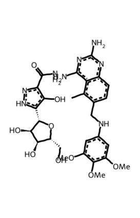 COc1cc(NCc2ccc3nc(N)nc(N)c3c2C)cc(OC)c1OC.NC(=O)c1n[nH]c([C@@H]2O[C@H](CO)[C@@H](O)[C@H]2O)c1O